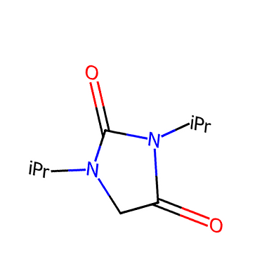 CC(C)N1CC(=O)N(C(C)C)C1=O